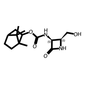 CC1(C)C2CCC1(C)C(OC(=O)N[C@@H]1C(=O)N[C@@H]1CO)C2